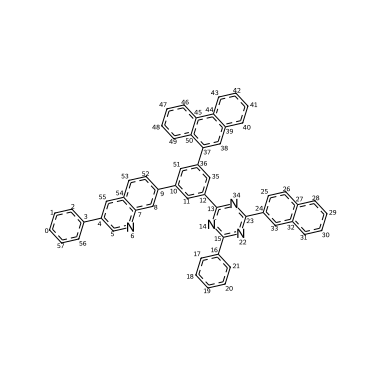 c1ccc(-c2cnc3cc(-c4cc(-c5nc(-c6ccccc6)nc(-c6ccc7ccccc7c6)n5)cc(-c5cc6ccccc6c6ccccc56)c4)ccc3c2)cc1